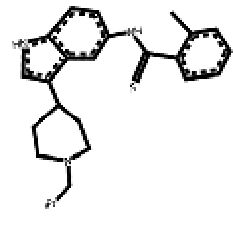 Cc1ccccc1C(=S)Nc1ccc2[nH]cc(C3CCN(CC(C)C)CC3)c2c1